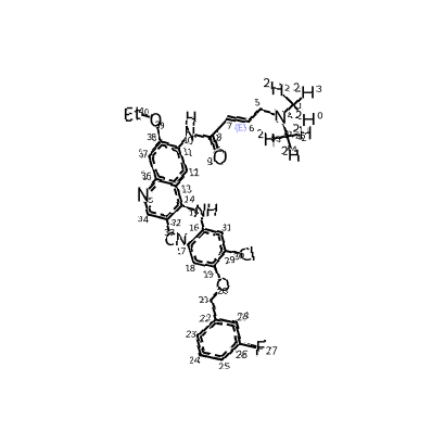 [2H]C([2H])([2H])N(C/C=C/C(=O)Nc1cc2c(Nc3ccc(OCc4cccc(F)c4)c(Cl)c3)c(C#N)cnc2cc1OCC)C([2H])([2H])[2H]